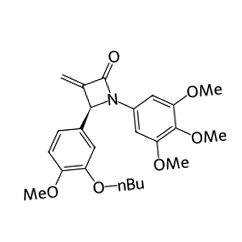 C=C1C(=O)N(c2cc(OC)c(OC)c(OC)c2)[C@H]1c1ccc(OC)c(OCCCC)c1